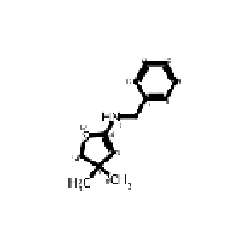 CC1(C)C=C(NCc2ccccc2)SC1